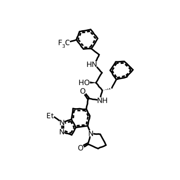 CCn1ncc2c(N3CCCC3=O)cc(C(=O)N[C@@H](Cc3ccccc3)[C@@H](O)CNCc3cccc(C(F)(F)F)c3)cc21